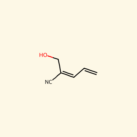 C=C/C=C(/C#N)CO